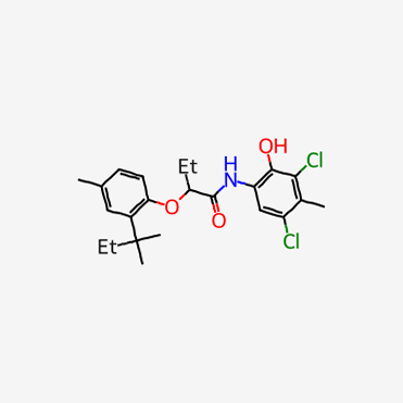 CCC(Oc1ccc(C)cc1C(C)(C)CC)C(=O)Nc1cc(Cl)c(C)c(Cl)c1O